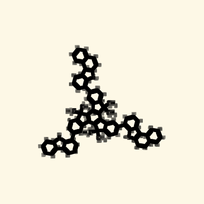 CC1(C)c2ccc(-c3cccc4c3sc3ccccc34)cc2-c2c1c1c(c3c2C(C)(C)c2ccc(-c4cccc5c4sc4ccc6ccccc6c45)cc2-3)C(C)(C)c2ccc(-c3cccc4c3sc3ccc5ccccc5c34)cc2-1